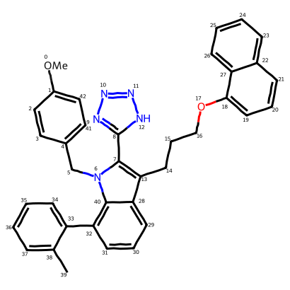 COc1ccc(Cn2c(-c3nnn[nH]3)c(CCCOc3cccc4ccccc34)c3cccc(-c4ccccc4C)c32)cc1